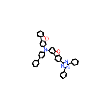 c1ccc(-c2ccc(N(c3ccc4c(c3)oc3ccccc34)c3ccc4oc5cc(-c6nc(-c7ccccc7)nc(-c7ccccc7)n6)ccc5c4c3)cc2)cc1